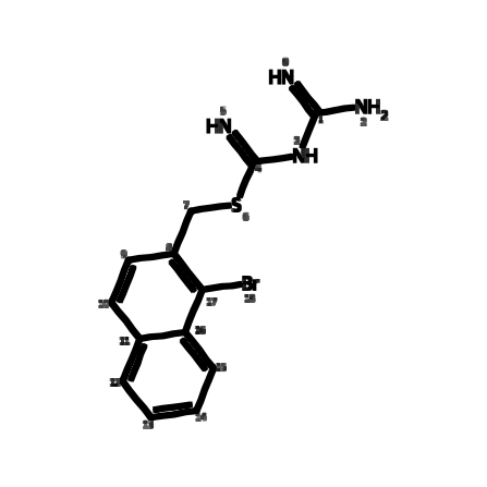 N=C(N)NC(=N)SCc1ccc2ccccc2c1Br